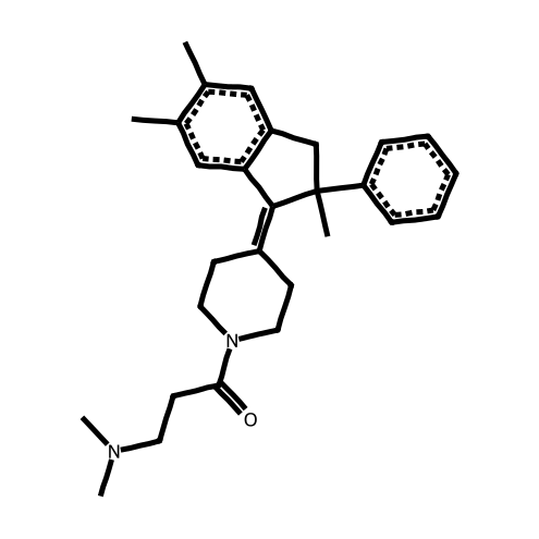 Cc1cc2c(cc1C)C(=C1CCN(C(=O)CCN(C)C)CC1)C(C)(c1ccccc1)C2